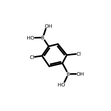 OB(O)c1cc(Cl)c(B(O)O)cc1Cl